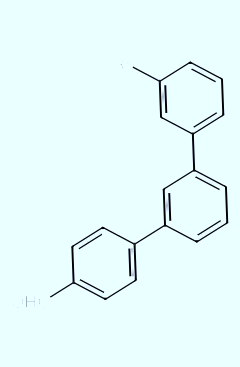 O=Cc1ccc(-c2cccc(-c3cccc(Br)c3)c2)cc1